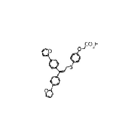 O=C(O)COc1ccc(SCC=C(c2ccc(-c3ccco3)cc2)c2ccc(-c3ccco3)cc2)cc1